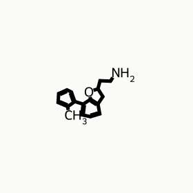 Cc1ccccc1-c1cccc2c1OC(CCN)C2